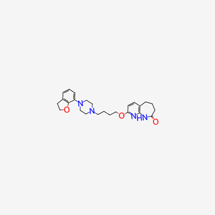 O=C1CCCc2ccc(OCCCCN3CCN(c4cccc5c4OCC5)CC3)nc2N1